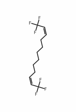 FC(F)(F)/C=C\CCCCCC/C=C\C(F)(F)F